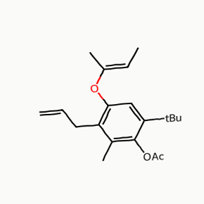 C=CCc1c(OC(C)=CC)cc(C(C)(C)C)c(OC(C)=O)c1C